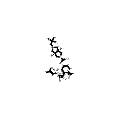 CO[C@@H]1[C@H](OC(=O)N2C[C@H]3CN(CC(C)(F)F)C[C@H]3C2)CC[C@]2(CO2)[C@H]1[C@@]1(C)O[C@@H]1CC=C(C)C